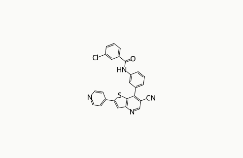 N#Cc1cnc2cc(-c3ccncc3)sc2c1-c1cccc(NC(=O)c2cccc(Cl)c2)c1